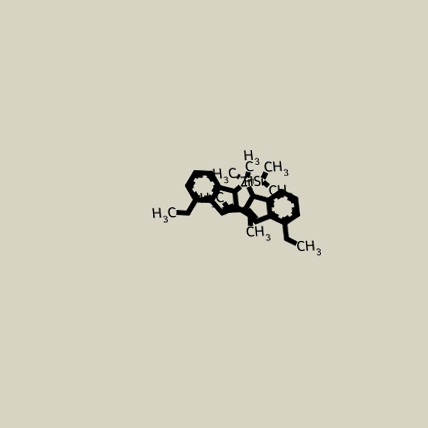 CCC1=Cc2c(CC)cccc2[CH]1[Zr]([CH3])([CH3])([CH]1C(CC)=Cc2c(CC)cccc21)[SiH](C)C